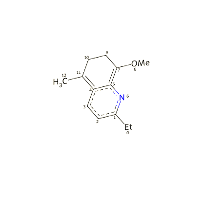 CCc1ccc2c(n1)=C(OC)CCC=2C